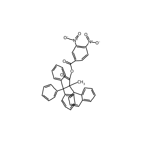 CC(C(=O)OC(=O)c1ccc([N+](=O)[O-])c([N+](=O)[O-])c1)(c1cccc2ccccc12)C(c1ccccc1)(c1ccccc1)c1ccccc1